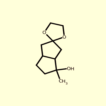 CC1(O)CCC2CC3(CC21)OCCO3